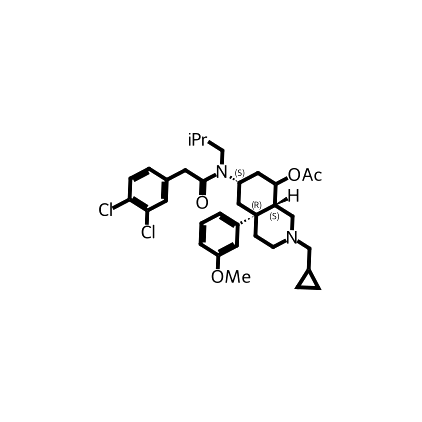 COc1cccc([C@@]23CCN(CC4CC4)C[C@H]2C(OC(C)=O)C[C@@H](N(CC(C)C)C(=O)Cc2ccc(Cl)c(Cl)c2)C3)c1